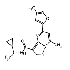 Cc1cc(-c2cc(C)n3ncc(C(=O)NC(C4CC4)C(F)(F)F)c3n2)on1